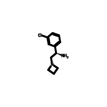 N[C@H](CN1CCC1)c1cccc(Cl)c1